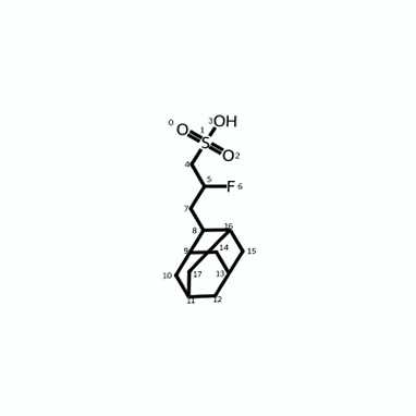 O=S(=O)(O)CC(F)CC1C2CC3CC(C2)CC1C3